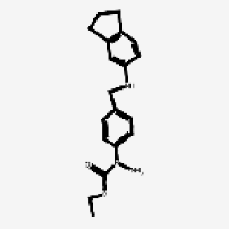 CCOC(=O)N(N)c1ccc(CNc2ccc3c(c2)CCC3)cc1